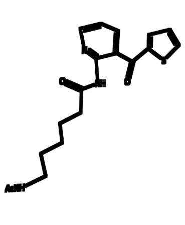 CC(=O)NCCCCCC(=O)Nc1ncccc1C(=O)c1cccs1